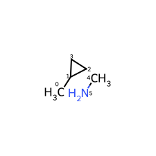 CC1CC1.CN